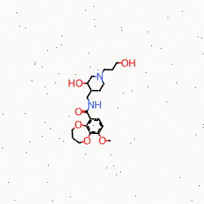 COc1ccc(C(=O)NCC2CCN(CCCO)CC2O)c2c1OCCCO2